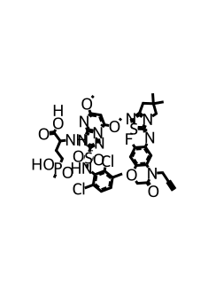 C#CCN1C(=O)COc2cc(F)c(/N=c3\snc4n3CC(C)(C)C4)cc21.COc1cc(OC)n2nc(S(=O)(=O)Nc3c(Cl)ccc(C)c3Cl)nc2n1.CP(=O)(O)CCC(N)C(=O)O